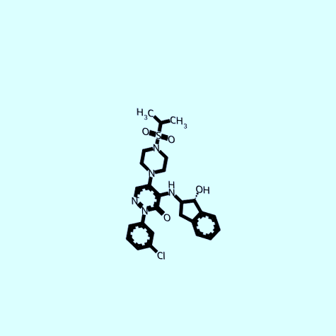 CC(C)S(=O)(=O)N1CCN(c2cnn(-c3cccc(Cl)c3)c(=O)c2NC2Cc3ccccc3[C@H]2O)CC1